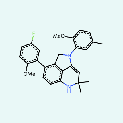 COc1ccc(F)cc1-c1ccc2c3c1CN(c1cc(C)ccc1OC)C3=CC(C)(C)N2